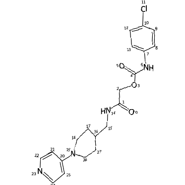 O=C(COC(=O)Nc1ccc(Cl)cc1)NCC1CCN(c2ccncc2)CC1